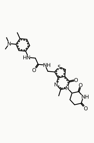 Cc1ccc(NCC(=O)NCc2scc3c(=O)n(C4CCC(=O)NC4=O)c(C)nc23)cc1N(C)C